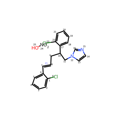 Clc1ccccc1/C=C/CC(Cn1ccnc1)c1ccccc1Cl.O=[N+]([O-])O